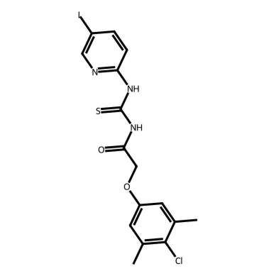 Cc1cc(OCC(=O)NC(=S)Nc2ccc(I)cn2)cc(C)c1Cl